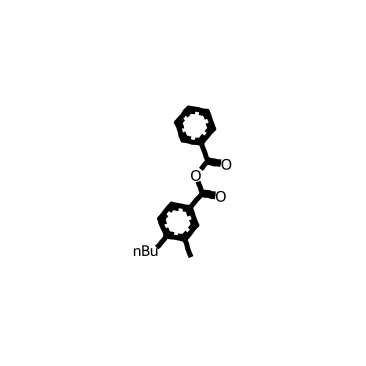 CCCCc1ccc(C(=O)OC(=O)c2ccccc2)cc1C